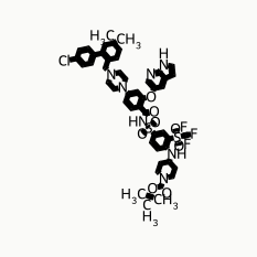 CC1(C)CCC(CN2CCN(c3ccc(C(=O)NS(=O)(=O)c4ccc(NC5CCN(C(=O)OC(C)(C)C)CC5)c(S(=O)(=O)C(F)(F)F)c4)c(Oc4cnc5[nH]ccc5c4)c3)CC2)=C(c2ccc(Cl)cc2)C1